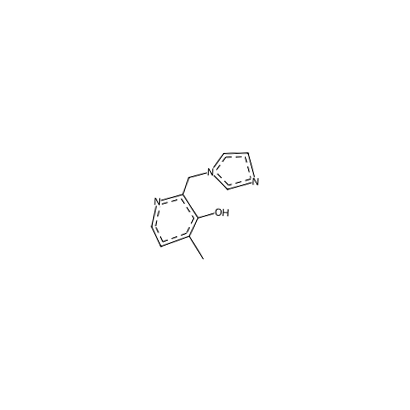 Cc1ccnc(Cn2ccnc2)c1O